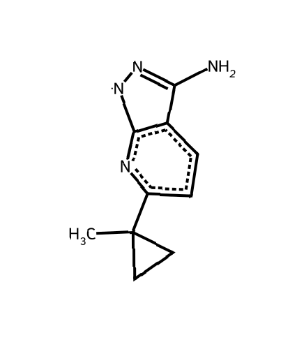 CC1(c2ccc3c(n2)[N]N=C3N)CC1